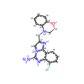 Nc1nc2c(F)cccc2c2nc(CN3CCOc4ccccc43)cn12